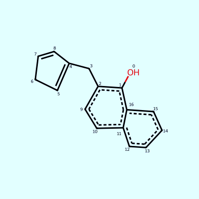 Oc1c(CC2=CCC=C2)ccc2ccccc12